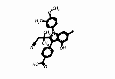 COc1ccc(-n2c(C(C)(C)CC#N)c(-c3ccc(C(=O)O)cc3)c3c(O)cc(F)cc32)cc1C